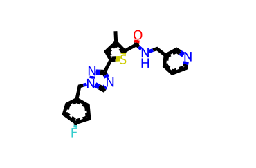 Cc1cc(-c2ncn(Cc3ccc(F)cc3)n2)sc1C(=O)NCc1cccnc1